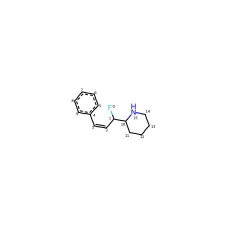 FC(/C=C\c1ccccc1)C1CCCCN1